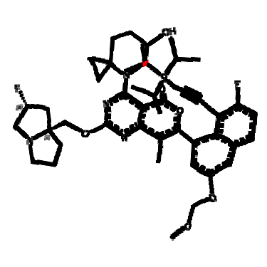 COCOc1cc(-c2oc(=O)c3c(N4CC(O)CCC45CC5)nc(OC[C@@]45CCCN4C[C@H](F)C5)nc3c2C)c2c(C#C[Si](C(C)C)(C(C)C)C(C)C)c(F)ccc2c1